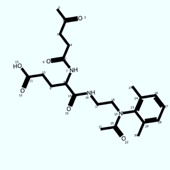 CC(=O)CCC(=O)NC(CCC(=O)O)C(=O)NCCN(C(C)=O)c1c(C)cccc1C